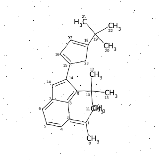 CC(C)=c1cccc2c1=C(C(C)(C)C)C(C1=CC=C(C(C)(C)C)C1)=[C]2